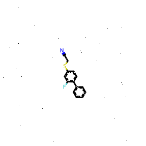 N#CCSc1ccc(-c2ccccc2)c(F)c1